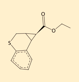 CCOC(=O)[C@@H]1C2CSc3ccccc3C21